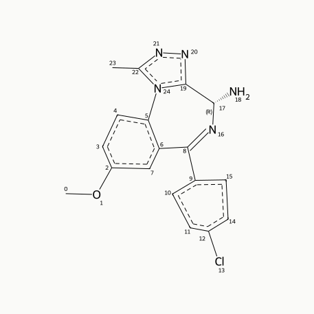 COc1ccc2c(c1)C(c1ccc(Cl)cc1)=N[C@@H](N)c1nnc(C)n1-2